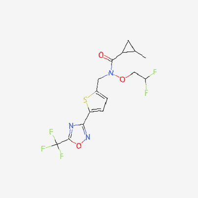 CC1CC1C(=O)N(Cc1ccc(-c2noc(C(F)(F)F)n2)s1)OCC(F)F